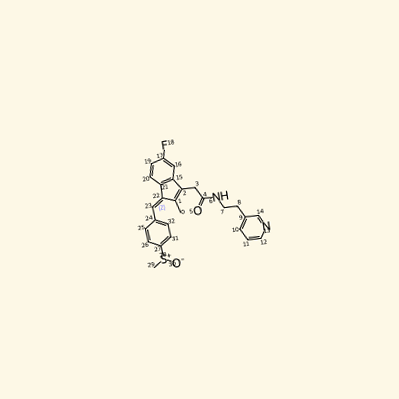 CC1=C(CC(=O)NCCc2cccnc2)c2cc(F)ccc2/C1=C/c1ccc([S+](C)[O-])cc1